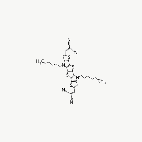 CCCCCCn1c2cc(C=C(C#N)C#N)sc2c2sc3c(sc4c5sc(C=C(C#N)C#N)cc5n(CCCCCC)c43)c21